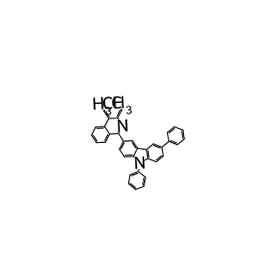 C/C=c1\c(=C/C)nc(-c2ccc3c(c2)c2cc(-c4ccccc4)ccc2n3-c2ccccc2)c2ccccc12